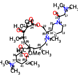 CO[C@]1(C)C[C@@H](C)CN(C)[C@H]([C@H]2CCCN(C(=O)CN(C)C)C2)COC(=O)C(C)(C)C(=O)[C@H](C)[C@H]1O[C@H]1C[C@@H](N(C)C)C[C@@H](C)O1